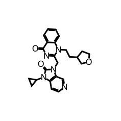 O=c1nc(Cn2c(=O)n(C3CC3)c3ccncc32)n(CCC2CCOC2)c2ccccc12